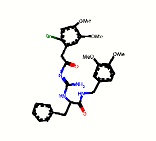 COc1ccc(CNC(=O)C(Cc2ccccc2)NC(N)=NC(=O)Cc2cc(OC)c(OC)cc2Br)cc1OC